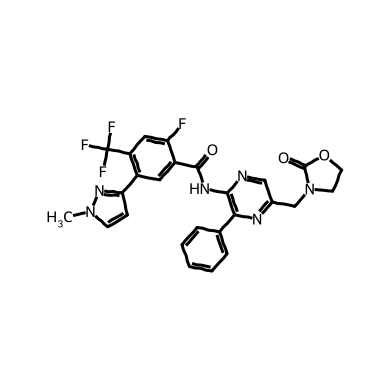 Cn1ccc(-c2cc(C(=O)Nc3ncc(CN4CCOC4=O)nc3-c3ccccc3)c(F)cc2C(F)(F)F)n1